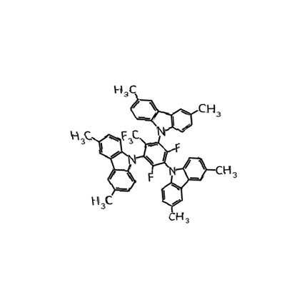 Cc1ccc2c(c1)c1cc(C)ccc1n2-c1c(F)c(-n2c3ccc(C)cc3c3cc(C)ccc32)c(C(F)(F)F)c(-n2c3ccc(C)cc3c3cc(C)ccc32)c1F